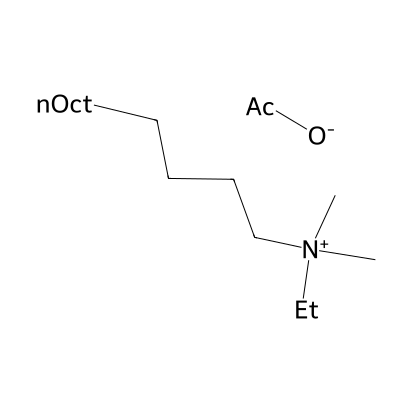 CC(=O)[O-].CCCCCCCCCCCC[N+](C)(C)CC